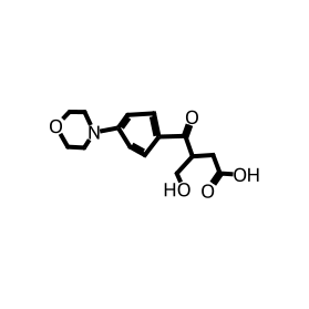 O=C(O)CC(CO)C(=O)c1ccc(N2CCOCC2)cc1